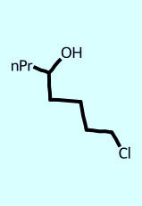 CCCC(O)CCCCCl